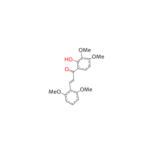 COc1cccc(OC)c1C=CC(=O)c1ccc(OC)c(OC)c1O